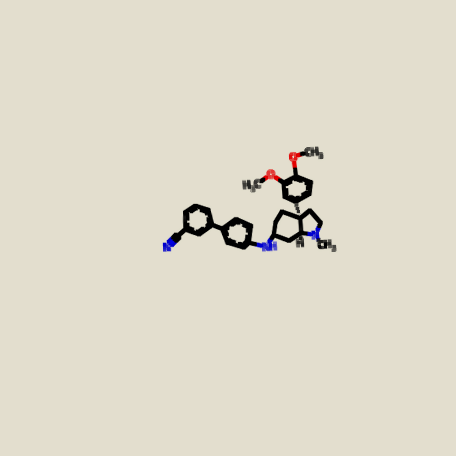 COc1ccc([C@@]23CCC(Nc4ccc(-c5cccc(C#N)c5)cc4)C[C@@H]2N(C)CC3)cc1OC